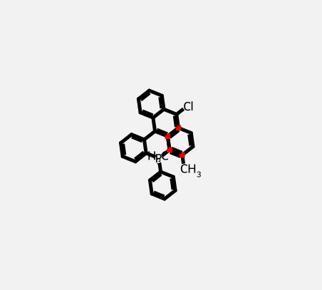 C/C=C(\C)c1cc(Cl)c2ccccc2c1-c1ccccc1P(c1ccccc1)c1ccccc1